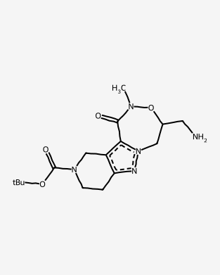 CN1OC(CN)Cn2nc3c(c2C1=O)CN(C(=O)OC(C)(C)C)CC3